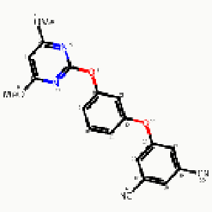 COc1cc(OC)nc(Oc2cccc(Oc3cc(C#N)cc(C#N)c3)c2)n1